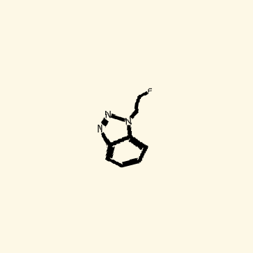 FCCn1nnc2ccccc21